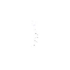 C[C@@]1(O)CC[C@H]2[C@H](CC[C@@H]3[C@@H]2CC[C@]2(C)[C@@H](C(=O)Cc4ccncn4)CC[C@@H]32)C1